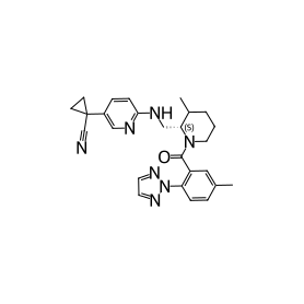 Cc1ccc(-n2nccn2)c(C(=O)N2CCCC(C)[C@H]2CNc2ccc(C3(C#N)CC3)cn2)c1